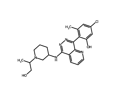 Cc1cc(Cl)cc(O)c1-c1nnc(NC2CCCN(C(C)CO)C2)c2cccnc12